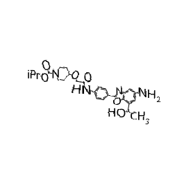 CC(C)OC(=O)N1CCC(OCC(=O)Nc2ccc(-c3nc4cc(N)cc(C(C)O)c4o3)cc2)CC1